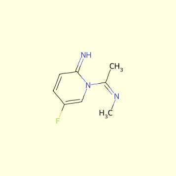 C/N=C(/C)n1cc(F)ccc1=N